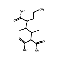 CC(C(C)N(C(=O)O)C(=O)O)N(CCO)C(=O)O